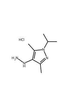 Cc1nn(C(C)C)c(C)c1NN.Cl